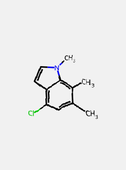 Cc1cc(Cl)c2ccn(C)c2c1C